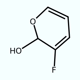 OC1OC=CC=C1F